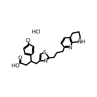 Cl.O=C(O)CC(Cc1csc(CCCc2ccc3c(n2)NCCC3)n1)c1ccc(Cl)cc1